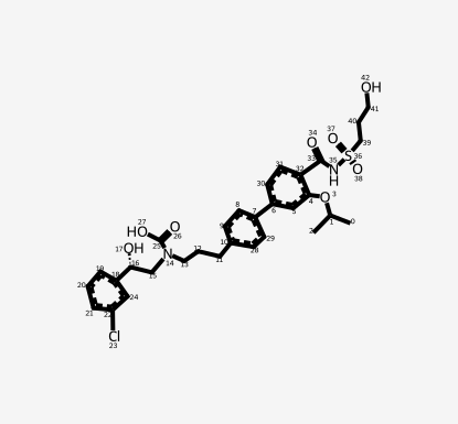 CC(C)Oc1cc(-c2ccc(CCCN(C[C@@H](O)c3cccc(Cl)c3)C(=O)O)cc2)ccc1C(=O)NS(=O)(=O)CCCO